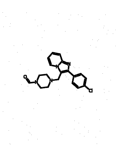 O=CN1CCN(Cc2c(-c3ccc(Cl)cc3)nc3ccccn23)CC1